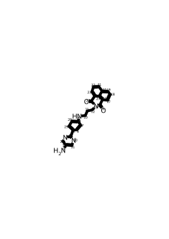 Nc1cnc(-c2ccc(NCCCN3C(=O)c4cccc5cccc(c45)C3=O)cc2)nc1